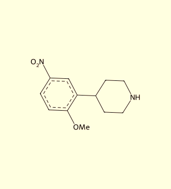 COc1ccc([N+](=O)[O-])cc1C1CCNCC1